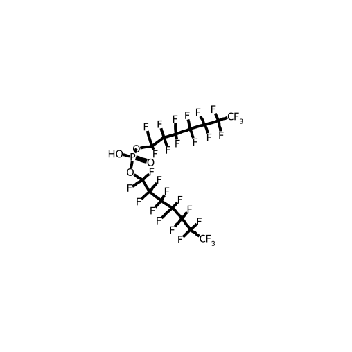 O=P(O)(OC(F)(F)C(F)(F)C(F)(F)C(F)(F)C(F)(F)C(F)(F)C(F)(F)F)OC(F)(F)C(F)(F)C(F)(F)C(F)(F)C(F)(F)C(F)(F)C(F)(F)F